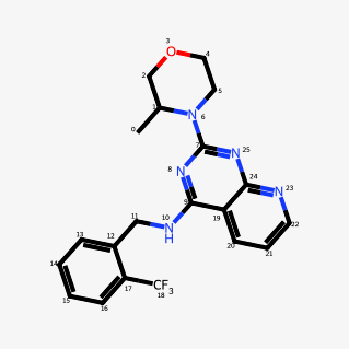 CC1COCCN1c1nc(NCc2ccccc2C(F)(F)F)c2cccnc2n1